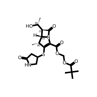 C[C@@H](O)[C@H]1C(=O)N2C(C(=O)OCOC(=O)C(C)(C)C)=C(SC3CNC(=O)C3)[C@H](C)[C@H]12